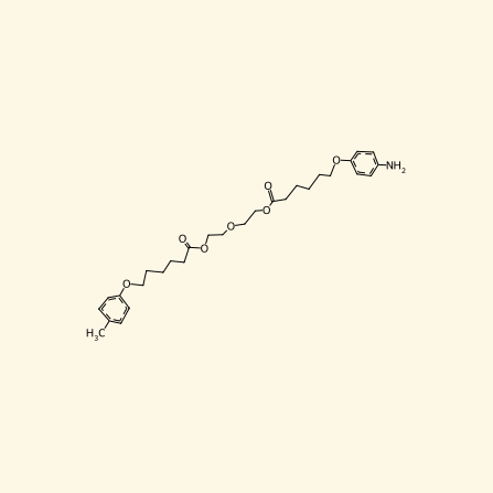 Cc1ccc(OCCCCCC(=O)OCCOCCOC(=O)CCCCCOc2ccc(N)cc2)cc1